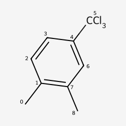 Cc1ccc(C(Cl)(Cl)Cl)cc1C